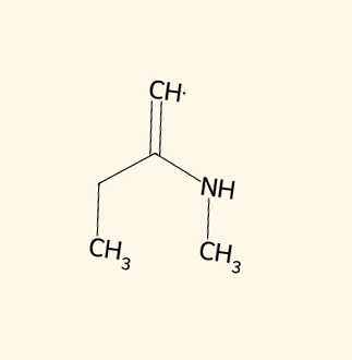 [CH]=C(CC)NC